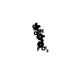 Cc1onc(NC(=O)N2CCC(=Cc3ccc(F)c(C(F)(F)F)c3)C(C)C2)c1C